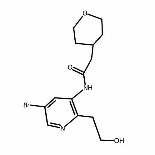 O=C(CC1CCOCC1)Nc1cc(Br)cnc1CCO